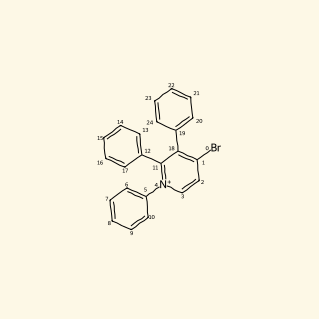 Brc1cc[n+](-c2ccccc2)c(-c2ccccc2)c1-c1ccccc1